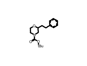 CC(C)(C)OC(=O)N1CCOC(CCc2ccccc2)C1